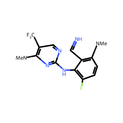 CNc1ccc(F)c(Nc2ncc(C(F)(F)F)c(NC)n2)c1C=N